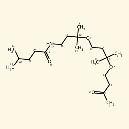 CC(=O)CCOC(C)(C)CCOC(C)(C)CCNC(=O)CCC(C)C